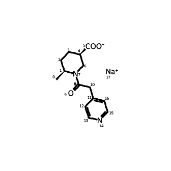 C[C@H]1CC[C@@H](C(=O)[O-])CN1C(=O)Cc1ccncc1.[Na+]